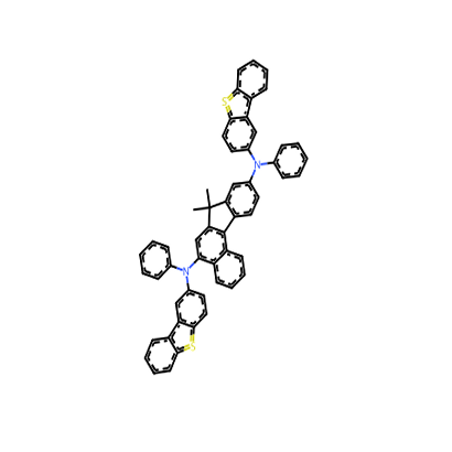 CC1(C)c2cc(N(c3ccccc3)c3ccc4sc5ccccc5c4c3)ccc2-c2c1cc(N(c1ccccc1)c1ccc3sc4ccccc4c3c1)c1ccccc21